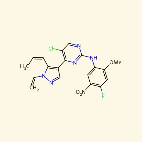 C=Cn1ncc(-c2nc(Nc3cc([N+](=O)[O-])c(F)cc3OC)ncc2Cl)c1/C=C\C